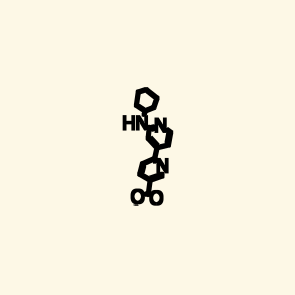 COC(=O)c1ccc(-c2ccnc(NC3CCCCC3)c2)nc1